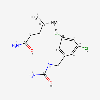 CN[C@H](CCC(N)=O)C(=O)O.NC(=O)NCc1cc(Cl)cc(Cl)c1